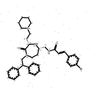 O=C(/C=C/c1ccc(Br)cc1)NC[C@@H]1CCN(CC(c2ccccc2)c2ccccc2)C(=O)[C@H](CCN2CCCCC2)N1